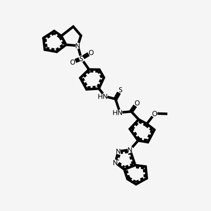 COc1ccc(-n2nnc3ccccc32)cc1C(=O)NC(=S)Nc1ccc(S(=O)(=O)N2CCc3ccccc32)cc1